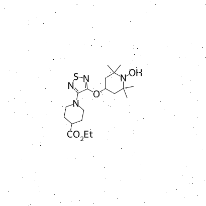 CCOC(=O)C1CCN(c2nsnc2OC2CC(C)(C)N(O)C(C)(C)C2)CC1